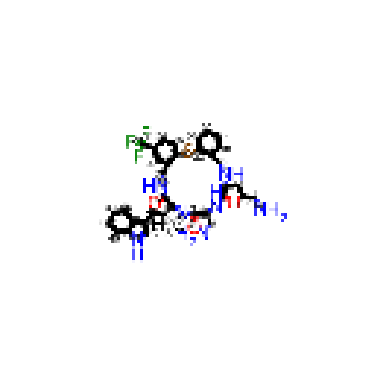 CN1C(=O)[C@H](CN)NC(=O)[C@H](CCCN)NCc2ccccc2Sc2ccc(C(F)(F)F)cc2CNC(=O)[C@@H]1CCc1c[nH]c2ccccc12